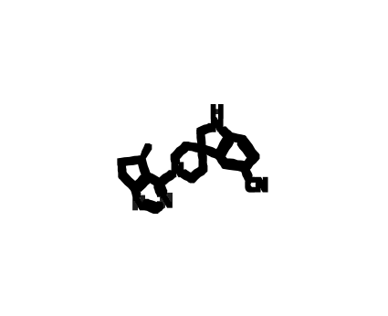 C[C@@H]1CCc2ncnc(N3CCC4(CC3)CNc3ccc(C#N)cc34)c21